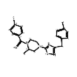 Cc1ccc(Cc2nsc(N3CCN(C(=O)c4ccc(F)cc4)C(C)C3)n2)cc1